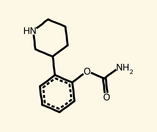 NC(=O)Oc1ccccc1C1CCCNC1